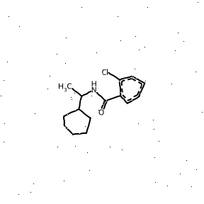 CC(NC(=O)c1ccccc1Cl)C1CCCCC1